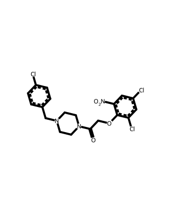 O=C(COc1c(Cl)cc(Cl)cc1[N+](=O)[O-])N1CCN(Cc2ccc(Cl)cc2)CC1